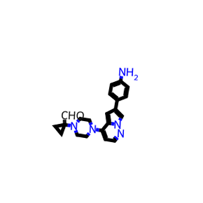 Nc1ccc(-c2cc3c(N4CCN(C5(C=O)CC5)CC4)ccnn3c2)cc1